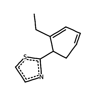 CCC1=CC=CCC1c1nccs1